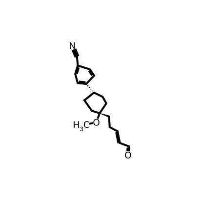 CO[C@]1(CCC=CC=O)CC[C@H](c2ccc(C#N)cc2)CC1